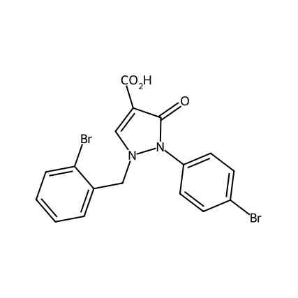 O=C(O)c1cn(Cc2ccccc2Br)n(-c2ccc(Br)cc2)c1=O